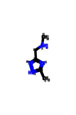 [CH2-][NH2+]Cc1n[nH]c(C)n1